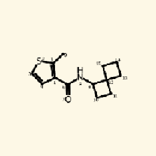 Cc1sccc1C(=O)NC1CCC12CCC2